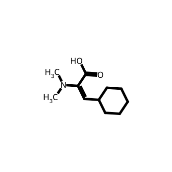 CN(C)/C(=C/C1CCCCC1)C(=O)O